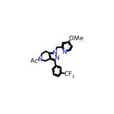 COc1ccnc(Cn2nc(-c3cccc(C(F)(F)F)c3)c3c2CCN(C(C)=O)C3)c1